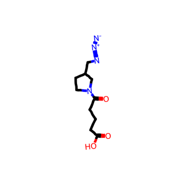 [N-]=[N+]=NCC1CCN(C(=O)CCCC(=O)O)C1